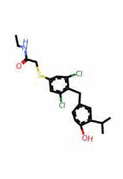 CCNC(=O)CSc1cc(Cl)c(Cc2ccc(O)c(C(C)C)c2)c(Cl)c1